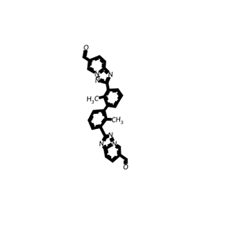 Cc1c(-c2nc3ccc(C=O)cn3n2)cccc1-c1cccc(-c2nc3ccc(C=O)cn3n2)c1C